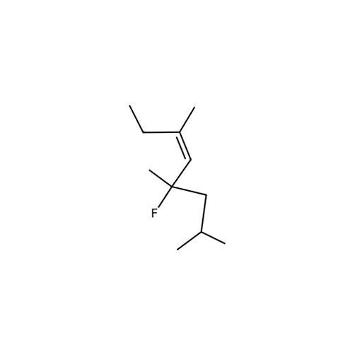 CC/C(C)=C\C(C)(F)CC(C)C